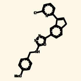 COc1ccc(CNc2nnc(-c3ccc4c(c3)C(c3cccc(Cl)n3)=CC4)o2)cc1